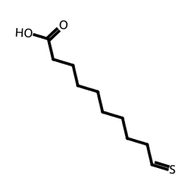 O=C(O)CCCCCCCCC=S